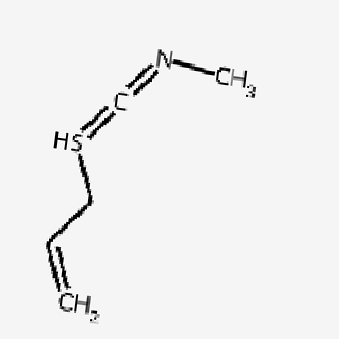 C=CC[SH]=C=NC